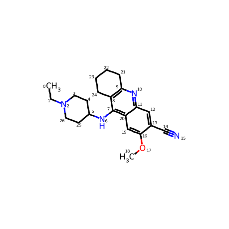 CCN1CCC(Nc2c3c(nc4cc(C#N)c(OC)cc24)CCCC3)CC1